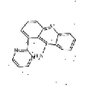 Nc1c2ccccc2nc2cccc(-c3ncccn3)c12